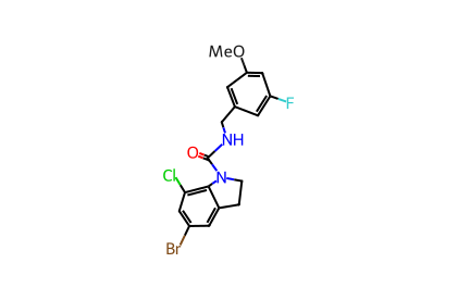 COc1cc(F)cc(CNC(=O)N2CCc3cc(Br)cc(Cl)c32)c1